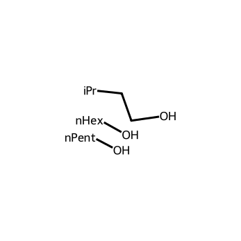 CC(C)CCO.CCCCCCO.CCCCCO